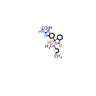 Cc1ccc(C(C)N2C(=O)c3ccccc3C2(O)c2ccc3[nH]c(NC(=O)O)nc3c2)s1